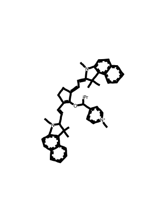 CC(C)C(OC1=C(/C=C/C2N(C)c3ccc4ccccc4c3C2(C)C)CC/C1=C\C=C1\N(C)c2ccc3ccccc3c2C1(C)C)c1cc[n+](C)cc1